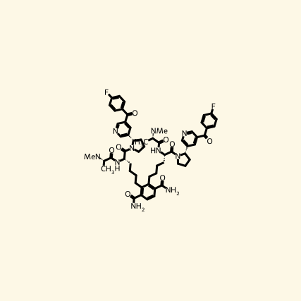 CN[C@@H](C)C(=O)N[C@@H](CCCCc1c(C(N)=O)ccc(C(N)=O)c1CCCC[C@H](NC(=O)[C@H](C)NC)C(=O)N1CCC[C@H]1c1cncc(C(=O)c2ccc(F)cc2)c1)C(=O)N1CCC[C@H]1c1cncc(C(=O)c2ccc(F)cc2)c1